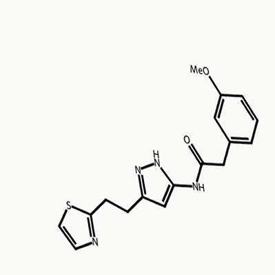 COc1cccc(CC(=O)Nc2cc(CCc3nccs3)n[nH]2)c1